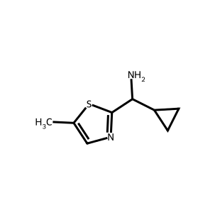 Cc1cnc(C(N)C2CC2)s1